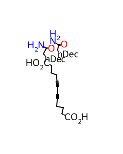 CCCCCCCCCCCC(N)=O.CCCCCCCCCCCC(N)=O.O=C(O)CCCC#CC#CCCCC(=O)O